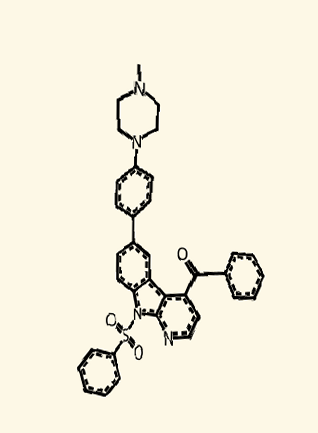 CN1CCN(c2ccc(-c3ccc4c(c3)c3c(C(=O)c5ccccc5)ccnc3n4S(=O)(=O)c3ccccc3)cc2)CC1